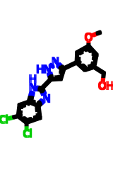 COc1cc(CO)cc(-c2cc(-c3nc4cc(Cl)c(Cl)cc4[nH]3)[nH]n2)c1